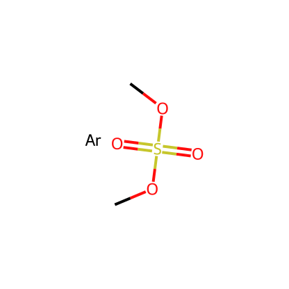 COS(=O)(=O)OC.[Ar]